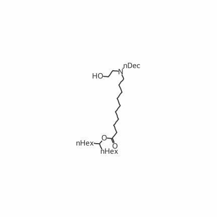 CCCCCCCCCCN(CCO)CCCCCCCCCC(=O)OC(CCCCCC)CCCCCC